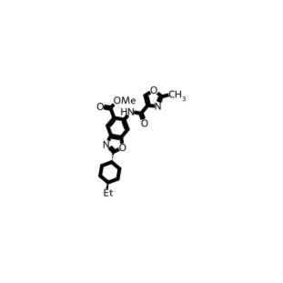 CC[C@H]1CC[C@H](c2nc3cc(C(=O)OC)c(NC(=O)c4coc(C)n4)cc3o2)CC1